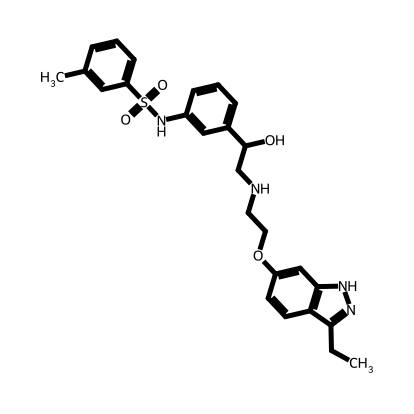 CCc1n[nH]c2cc(OCCNCC(O)c3cccc(NS(=O)(=O)c4cccc(C)c4)c3)ccc12